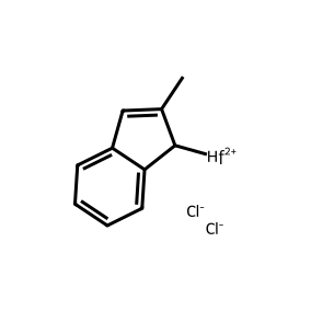 CC1=Cc2ccccc2[CH]1[Hf+2].[Cl-].[Cl-]